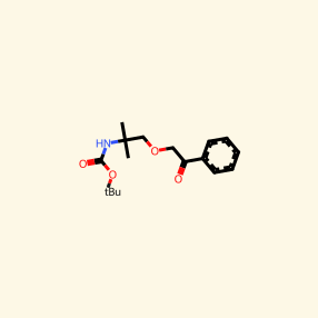 CC(C)(COCC(=O)c1ccccc1)NC(=O)OC(C)(C)C